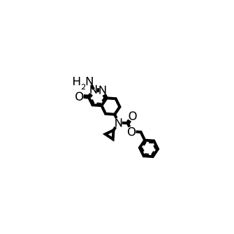 Nn1nc2c(cc1=O)CC(N(C(=O)OCc1ccccc1)C1CC1)CC2